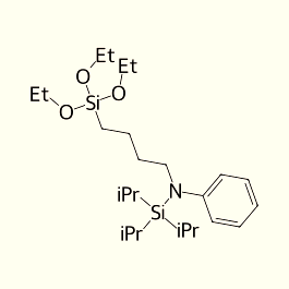 CCO[Si](CCCCN(c1ccccc1)[Si](C(C)C)(C(C)C)C(C)C)(OCC)OCC